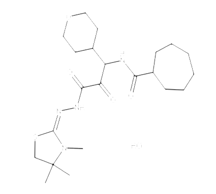 CN1C(=NNC(=O)C(=O)C(NC(=O)C2CCCCCC2)C2CCOCC2)SCC1(C)C.Cl